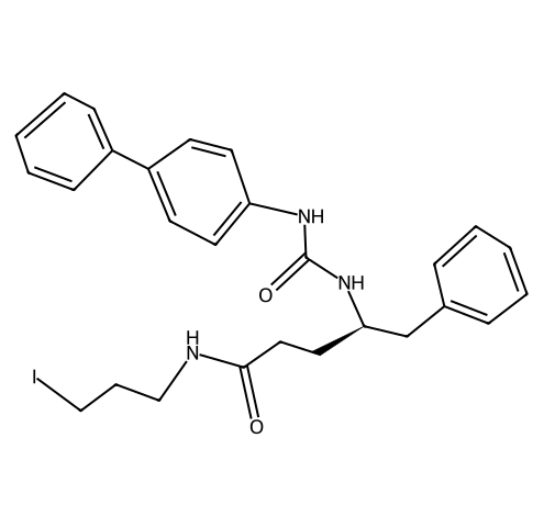 O=C(CC[C@H](Cc1ccccc1)NC(=O)Nc1ccc(-c2ccccc2)cc1)NCCCI